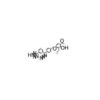 CCCc1c(OCc2ccc(C(N=[N+]=[N-])c3cccc(-c4nn[nH]n4)c3)cc2)ccc(C(C)=O)c1O